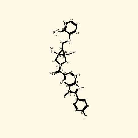 Cn1c(-c2ccc(F)cc2)nc2ncc(C(=O)N3C[C@@H]4C(COc5cccnc5C(F)(F)F)[C@@H]4C3)nc21